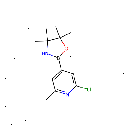 Cc1cc(B2NC(C)(C)C(C)(C)O2)cc(Cl)n1